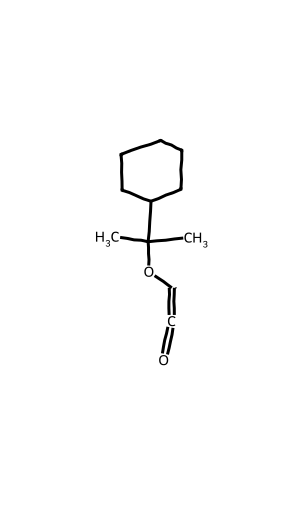 CC(C)(O[C]=C=O)C1CCCCC1